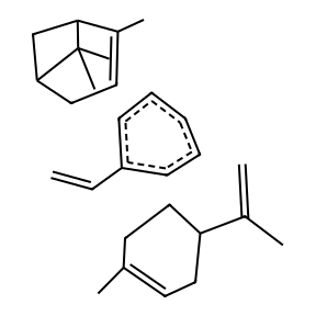 C=C(C)C1CC=C(C)CC1.C=Cc1ccccc1.CC1=CCC2CC1C2(C)C